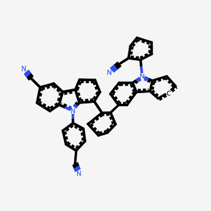 N#Cc1ccc(-n2c3ccc(C#N)cc3c3cccc(-c4ccccc4-c4ccc5c(c4)c4ccccc4n5-c4ccccc4C#N)c32)cc1